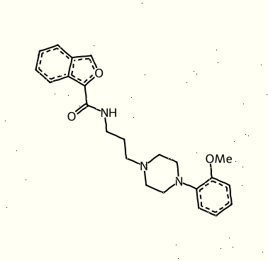 COc1ccccc1N1CCN(CCCNC(=O)c2occ3ccccc23)CC1